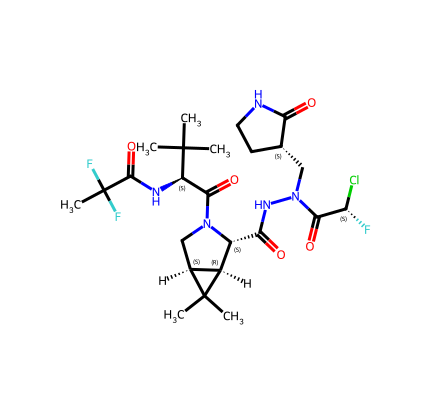 CC(F)(F)C(=O)N[C@H](C(=O)N1C[C@H]2[C@@H]([C@H]1C(=O)NN(C[C@@H]1CCNC1=O)C(=O)[C@@H](F)Cl)C2(C)C)C(C)(C)C